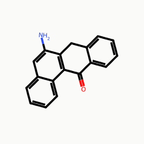 Nc1cc2ccccc2c2c1Cc1ccccc1C2=O